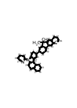 CC1(C)c2cc(-c3ccc4c(c3)c3c5ccccc5ccc3n4-c3ccccn3)ccc2-c2cc3ccccc3cc21